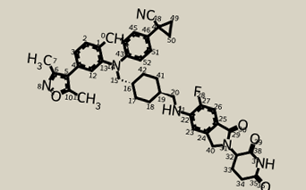 Cc1ccc(-c2c(C)noc2C)cc1N(C[C@H]1CC[C@H](CNc2cc3c(cc2F)C(=O)N(C2CCC(=O)NC2=O)C3)CC1)c1ccc(C2(C#N)CC2)cc1